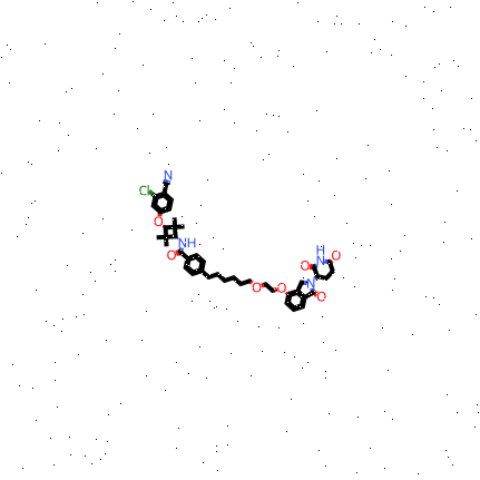 CC1(C)[C@H](NC(=O)c2ccc(CCCCCCOCCOc3cccc4c3CN(C3CCC(=O)NC3=O)C4=O)cc2)C(C)(C)[C@H]1Oc1ccc(C#N)c(Cl)c1